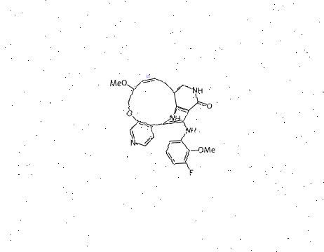 COc1c(F)cccc1Nc1c2[nH]c3c1C(=O)NCC3C/C=C\C(OC)COc1cnccc1-2